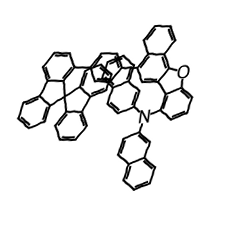 c1ccc2c(c1)-c1ccccc1C21c2ccccc2-c2cccc(-c3ccc(-c4cc5c(oc6cccc(N(c7ccc8ccccc8c7)c7ccc8ccccc8c7)c65)c5ccccc45)cc3)c21